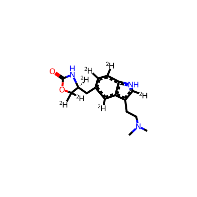 [2H]c1[nH]c2c([2H])c([2H])c(C[C@]3([2H])NC(=O)OC3([2H])[2H])c([2H])c2c1CCN(C)C